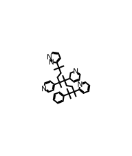 CC(C)(CCC(C)(c1ccncc1)C(C)(CCC(C)(c1ccccn1)C(C)(C)c1ccccc1)C1C=CC=NC1)c1cccnn1